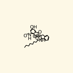 CCCCCCCC(=O)NC1c2ccccc2CC1NC(=O)c1cc(O)cc(NC=O)c1O